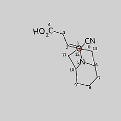 N#CC(=CCC(=O)O)N1C2CCCC1COC2